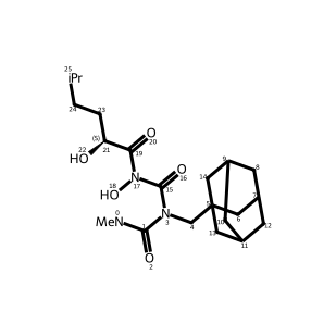 CNC(=O)N(CC12CC3CC(CC(C3)C1)C2)C(=O)N(O)C(=O)[C@@H](O)CCC(C)C